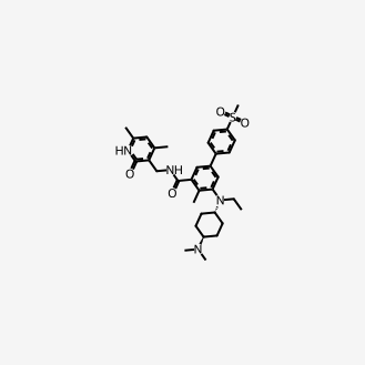 CCN(c1cc(-c2ccc(S(C)(=O)=O)cc2)cc(C(=O)NCc2c(C)cc(C)[nH]c2=O)c1C)[C@H]1CC[C@H](N(C)C)CC1